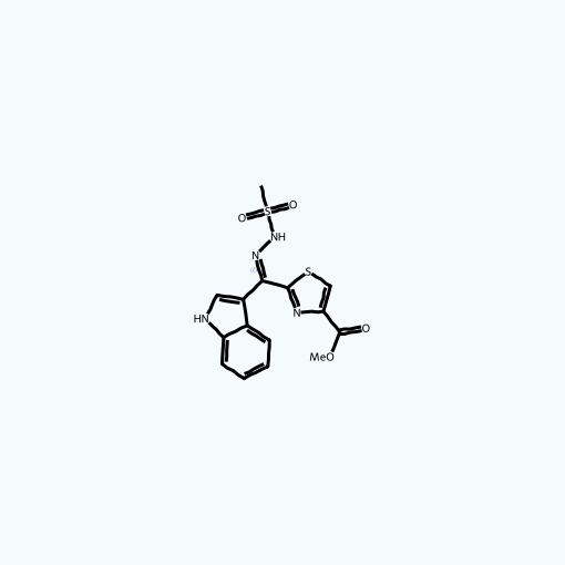 COC(=O)c1csc(/C(=N\NS(C)(=O)=O)c2c[nH]c3ccccc23)n1